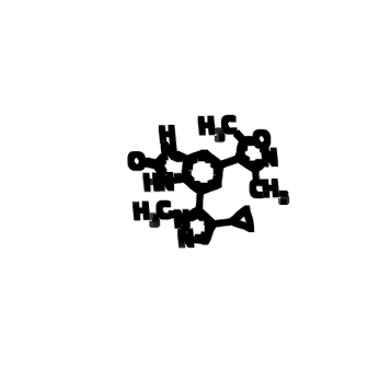 Cc1noc(C)c1-c1cc(-c2c(C3CC3)cnn2C)c2[nH]c(=O)[nH]c2c1